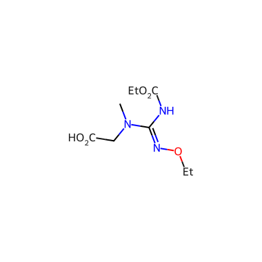 CCO/N=C(\NC(=O)OCC)N(C)CC(=O)O